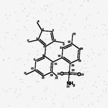 CC1=CC(C)C(C)=C1c1cc(C)cc(C)c1-c1cc(C)ccc1S(N)(=O)=O